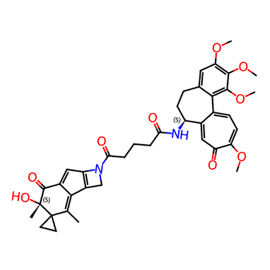 COc1cc2c(c(OC)c1OC)-c1ccc(OC)c(=O)cc1[C@@H](NC(=O)CCCC(=O)N1CC3=C1C=C1C(=O)[C@@](C)(O)C4(CC4)C(C)=C13)CC2